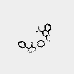 CN(C)c1nc(N[C@H]2CC[C@@H](NC(=O)[C@H](O)c3ccccc3)CC2)nc2ccccc12